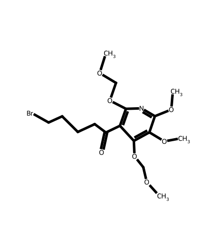 COCOc1nc(OC)c(OC)c(OCOC)c1C(=O)CCCCBr